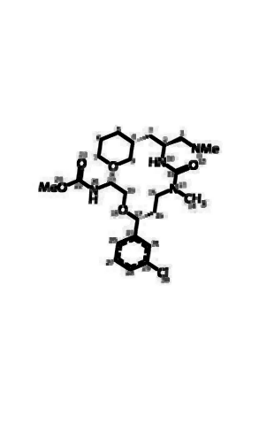 CNC[C@H](C[C@H]1CCCOC1)NC(=O)N(C)CC[C@@H](OCCNC(=O)OC)c1cccc(Cl)c1